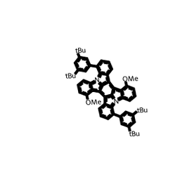 COc1cccc2c1c1c3c4cccc(-c5cc(C(C)(C)C)cc(C(C)(C)C)c5)c4n4c5cccc(OC)c5c(c5c6cccc(-c7cc(C(C)(C)C)cc(C(C)(C)C)c7)c6n2c51)c34